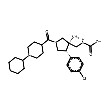 C[C@@]1(CNC(=O)O)CN(C(=O)C2CCN(C3CCCCC3)CC2)C[C@H]1c1ccc(Cl)cc1